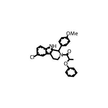 COc1ccc(C2c3[nH]c4ccc(Cl)cc4c3CCN2C(=O)C(C)Oc2ccccc2)cc1